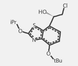 CC(C)Oc1nc2c(OC(C)(C)C)ccc([C@H](O)CCl)c2s1